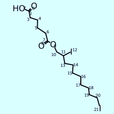 O=C(O)CCCCC(=O)OCC(I)CCCCCCCCI